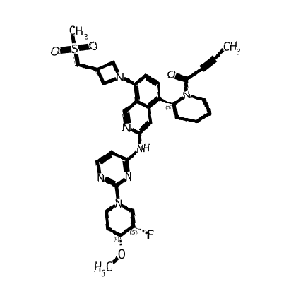 CC#CC(=O)N1CCCC[C@H]1c1ccc(N2CC(CS(C)(=O)=O)C2)c2cnc(Nc3ccnc(N4CC[C@@H](OC)[C@@H](F)C4)n3)cc12